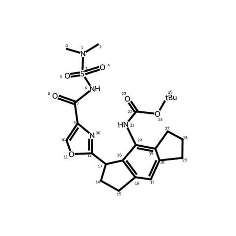 CN(C)S(=O)(=O)NC(=O)c1coc(C2CCc3cc4c(c(NC(=O)OC(C)(C)C)c32)CCC4)n1